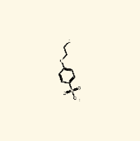 CS(=O)(=O)c1ccc(OCCCl)cc1